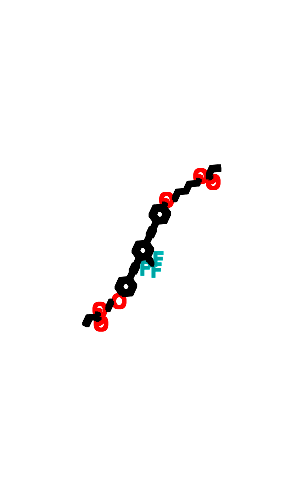 C=CC(=O)OCCCCCOc1ccc(C#Cc2ccc(C#Cc3ccc(OCCOC(=O)C=C)cc3)c(C(F)(F)F)c2)cc1